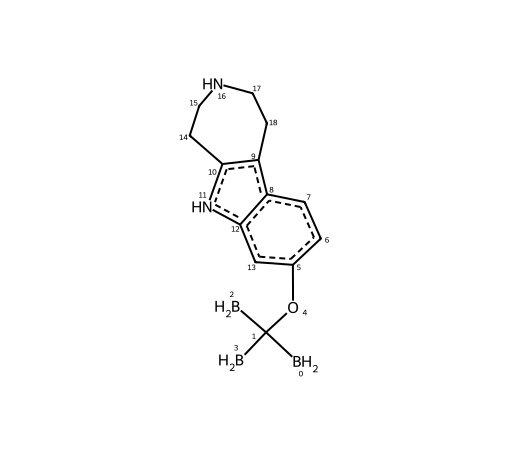 BC(B)(B)Oc1ccc2c3c([nH]c2c1)CCNCC3